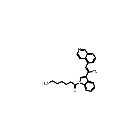 N#C/C(=C\c1cccc2cnccc12)c1cn(C(=O)CCCCCN)c2ccccc12